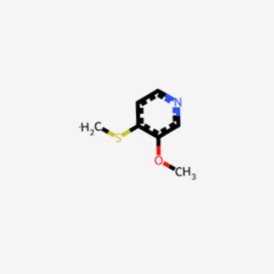 [CH2]Sc1ccncc1OC